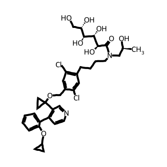 C[C@H](O)CN(CCCCc1cc(Cl)c(COC2(c3cnccc3-c3ccccc3OC3CC3)CC2)cc1Cl)C(=O)[C@@H](O)[C@@H](O)[C@H](O)[C@@H](O)CO